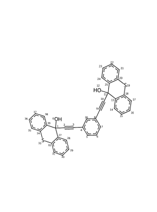 OC1(C#Cc2cccc(C#CC3(O)c4ccccc4Sc4ccccc43)c2)c2ccccc2Sc2ccccc21